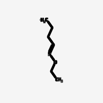 [CH2]CC/C=N/OCC